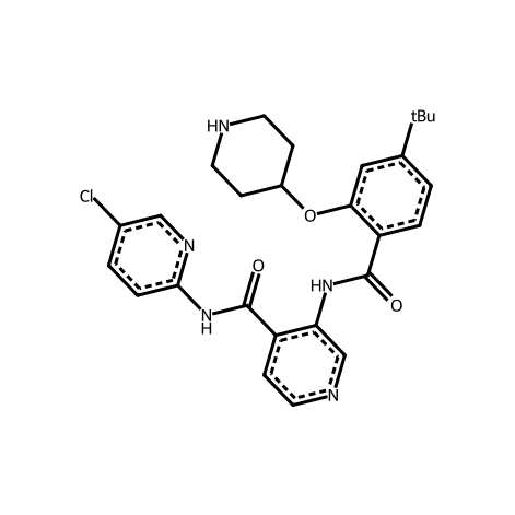 CC(C)(C)c1ccc(C(=O)Nc2cnccc2C(=O)Nc2ccc(Cl)cn2)c(OC2CCNCC2)c1